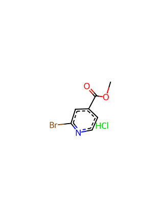 COC(=O)c1ccnc(Br)c1.Cl